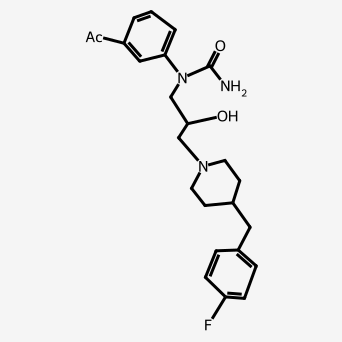 CC(=O)c1cccc(N(CC(O)CN2CCC(Cc3ccc(F)cc3)CC2)C(N)=O)c1